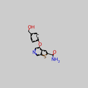 NC(=O)c1cc2c(Oc3ccc(CO)cc3)cncc2s1